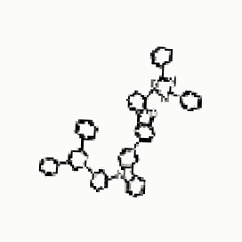 c1ccc(-c2cc(-c3ccccc3)cc(-c3cccc(-n4c5ccccc5c5cc(-c6ccc7oc8c(-c9nc(-c%10ccccc%10)nc(-c%10ccccc%10)n9)cccc8c7c6)ccc54)c3)c2)cc1